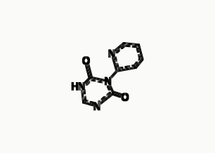 O=c1nc[nH]c(=O)n1-c1ccccn1